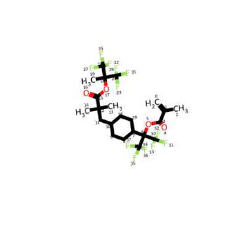 C=C(C)C(=O)OC(C1CCC(CC(C)(C)C(=O)OC(C)(C(F)(F)F)C(F)(F)F)CC1)(C(F)(F)F)C(F)(F)F